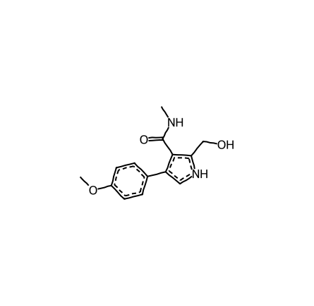 CNC(=O)c1c(-c2ccc(OC)cc2)c[nH]c1CO